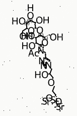 CC(=O)N(Cc1cn(CC(O)COCCC[Si](C)(O[Si](C)(C)C)O[Si](C)(C)C)nn1)[C@@H]1O[C@@H](CO)[C@@H](OC2OC(CO)[C@@H](O)[C@H](O)C2O)C(O)C1O